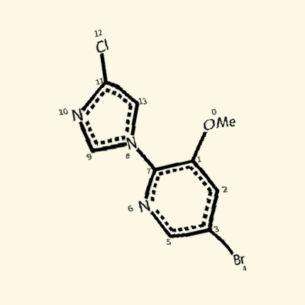 COc1cc(Br)cnc1-n1cnc(Cl)c1